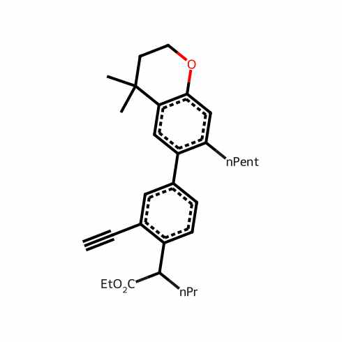 C#Cc1cc(-c2cc3c(cc2CCCCC)OCCC3(C)C)ccc1C(CCC)C(=O)OCC